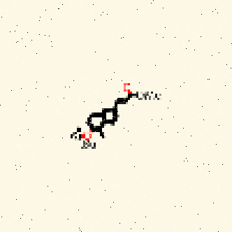 COC(=O)C=Cc1ccc2c(C)c(O[Si](C)(C)C(C)(C)C)ccc2c1